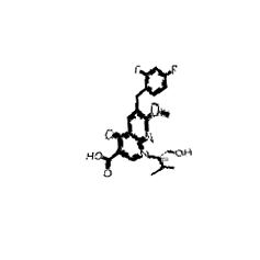 COc1nc2c(cc1Cc1ccc(F)cc1F)c(=O)c(C(=O)O)cn2[C@H](CO)C(C)C